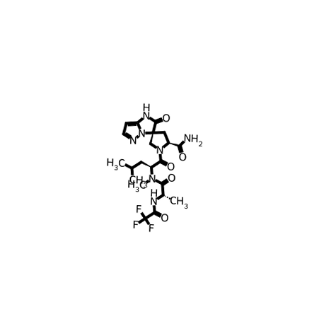 CC(C)C[C@@H](C(=O)N1C[C@]2(C[C@H]1C(N)=O)C(=O)Nc1ccnn12)N(C)C(=O)[C@H](C)NC(=O)C(F)(F)F